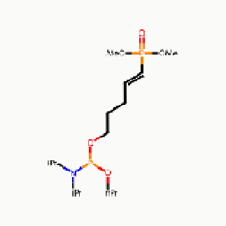 CCCOP(OCCC/C=C/P(=O)(OC)OC)N(C(C)C)C(C)C